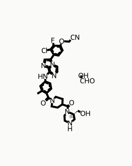 Cc1cc(Nc2nccn3c(-c4ccc(OCC#N)c(F)c4Cl)cnc23)ccc1C(=O)N1CCC(C(=O)N2CCNC[C@H]2CO)CC1.O=CO